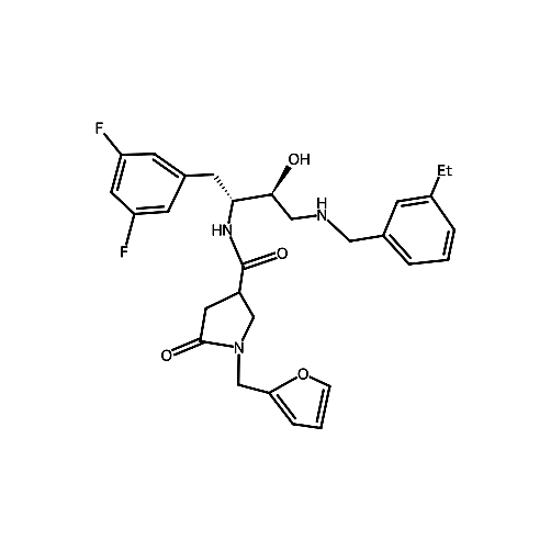 CCc1cccc(CNC[C@H](O)[C@@H](Cc2cc(F)cc(F)c2)NC(=O)C2CC(=O)N(Cc3ccco3)C2)c1